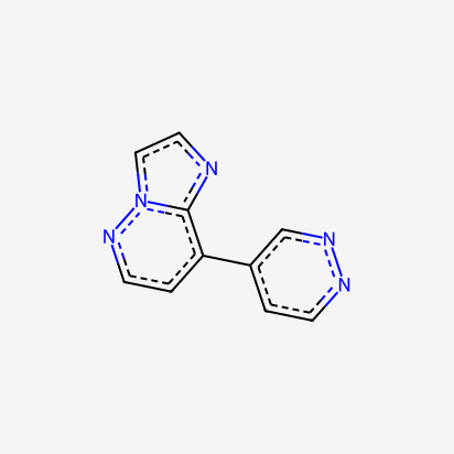 c1cc(-c2ccnn3ccnc23)cnn1